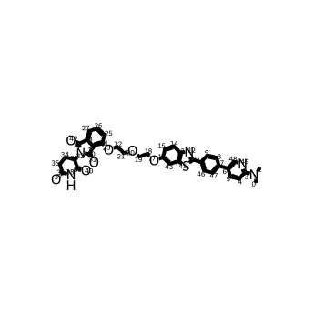 CN(C)c1ccc(-c2ccc(-c3nc4ccc(OCCOCCOc5cccc6c5C(=O)N(C5CCC(=O)NC5=O)C6=O)cc4s3)cc2)cn1